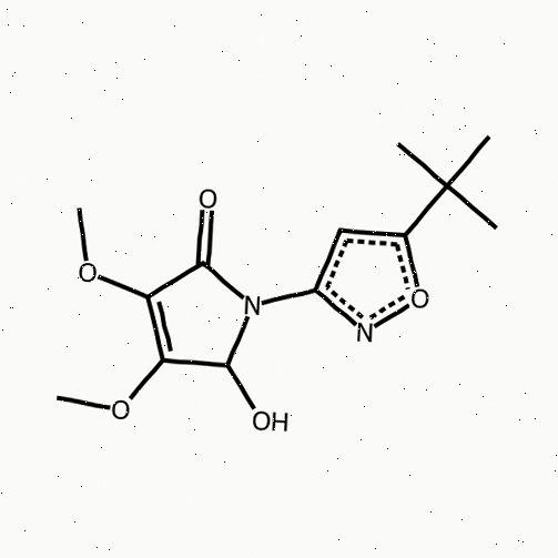 COC1=C(OC)C(O)N(c2cc(C(C)(C)C)on2)C1=O